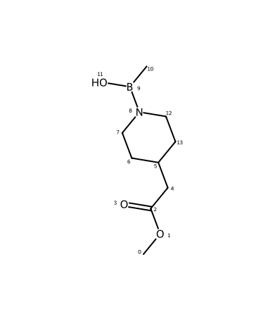 COC(=O)CC1CCN(B(C)O)CC1